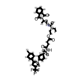 CCN(CCOC(=O)CCC(=O)NS(=O)(=O)c1ccc(-n2nc(C(F)(F)F)cc2-c2ccc(C)cc2)cc1)/[N+]([O-])=N/OC(C)N1C(=O)c2ccccc2C1=O